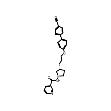 N#Cc1ccc(-c2ccc(OCCC[C@@H]3CCN(NC(=O)c4cccnc4)C3)cc2)cc1